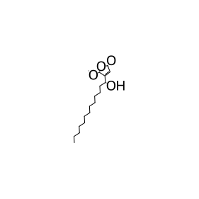 CCCCCCCCCCCCC(O)C1=CC(=O)OC1OC